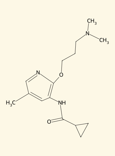 Cc1cnc(OCCCN(C)C)c(NC(=O)C2CC2)c1